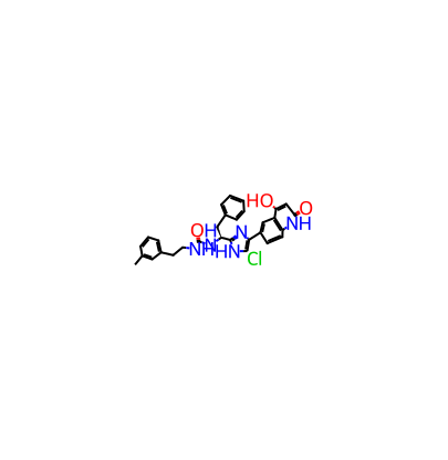 Cc1cccc(CCNC(=O)N[C@@H](Cc2ccccc2)c2nc(-c3ccc4[nH]c(=O)cc(O)c4c3)c(Cl)[nH]2)c1